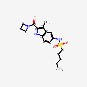 CCCCCS(=O)(=O)Nc1ccc2[nH]c(C(=O)N3CCC3)c(C)c2c1